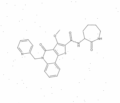 COc1c(C(=O)NC2CCCCNC2=O)sc2c1c(=O)n(Cc1ccccn1)c1ccccc21